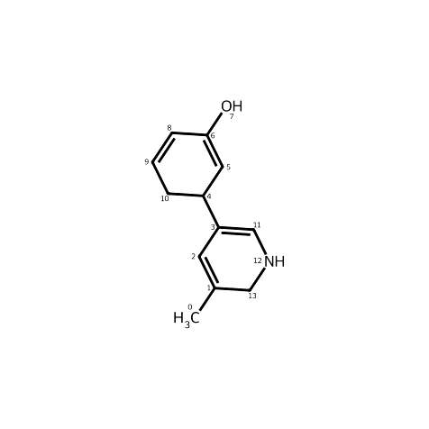 CC1=CC(C2C=C(O)C=CC2)=CNC1